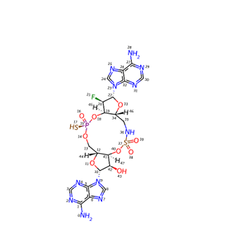 Nc1ncnc2c1ncn2[C@@H]1O[C@@H]2CO[P@@](=O)(S)O[C@H]3[C@@H](F)[C@H](n4cnc5c(N)ncnc54)O[C@@H]3CNS(=O)(=O)O[C@H]2[C@H]1O